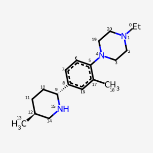 CCN1CCN(c2ccc([C@H]3CC[C@H](C)CN3)cc2C)CC1